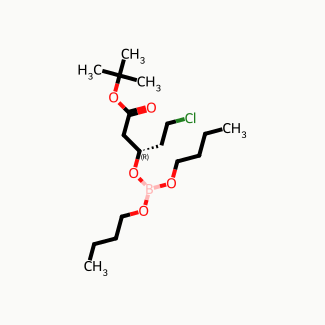 CCCCOB(OCCCC)O[C@@H](CCCl)CC(=O)OC(C)(C)C